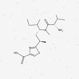 CCC(C)[C@@H](C[C@@H](C)c1nc(C(=O)O)cs1)N(C)C(=O)[C@@H](N)C(C)C